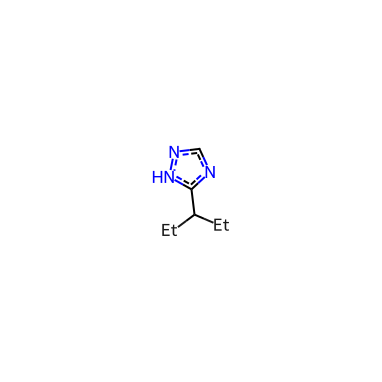 CCC(CC)c1ncn[nH]1